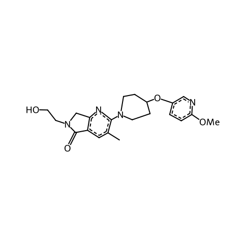 COc1ccc(OC2CCN(c3nc4c(cc3C)C(=O)N(CCO)C4)CC2)cn1